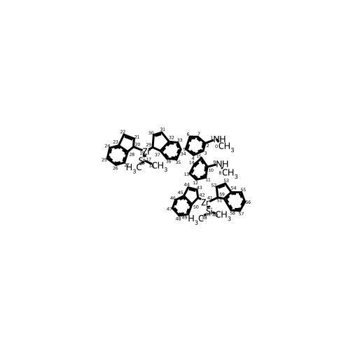 CNc1ccccc1.CNc1ccccc1.C[Si](C)=[Zr]([CH]1C=Cc2ccccc21)[CH]1C=Cc2ccccc21.C[Si](C)=[Zr]([CH]1C=Cc2ccccc21)[CH]1C=Cc2ccccc21